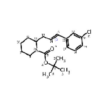 CC(C)(C)OC(=O)N1CCCCC1C/C=C/c1cccc(Cl)c1